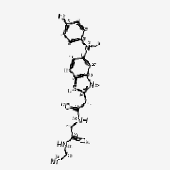 CN(c1ccc(F)cc1)c1ccc2sc(CC(=O)NCC(=O)NCC#N)nc2c1